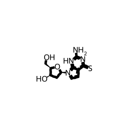 Nc1nc(=S)c2ccn([C@H]3C[C@H](O)[C@@H](CO)O3)c2[nH]1